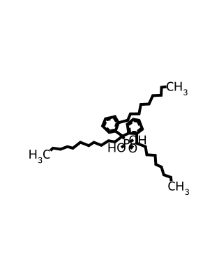 CCCCCCCCCCCC(c1ccccc1CCCCCCCCC)(c1ccccc1CCCCCCCCC)P(=O)(O)O